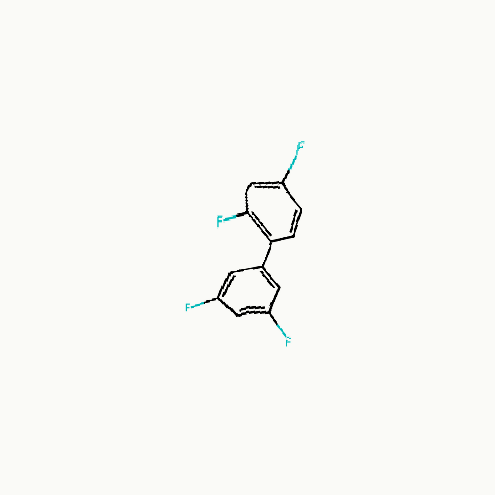 Fc1cc(F)cc(-c2ccc(F)cc2F)c1